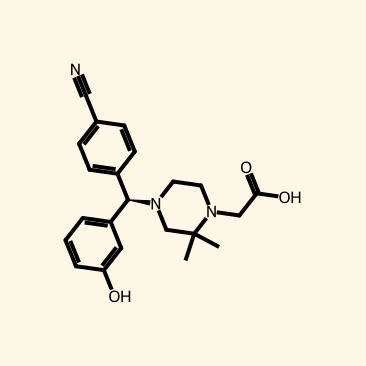 CC1(C)CN([C@H](c2ccc(C#N)cc2)c2cccc(O)c2)CCN1CC(=O)O